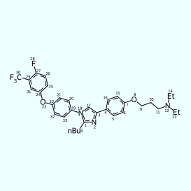 CCCCc1nc(-c2ccc(OCCCN(CC)CC)cc2)cn1-c1ccc(Oc2ccc(F)c(C(F)(F)F)c2)cc1